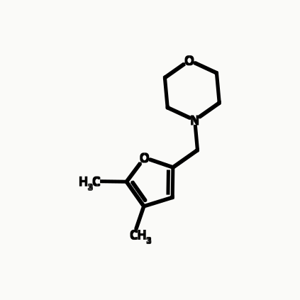 Cc1cc(CN2CCOCC2)oc1C